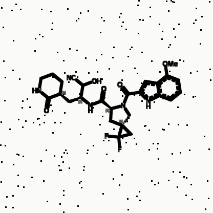 COc1cccc2[nH]c(C(=O)N3C[C@]4(C[C@H]3C(=O)N[C@@H](C[C@@H]3CCCNC3=O)C(O)C#N)CC4(F)F)cc12